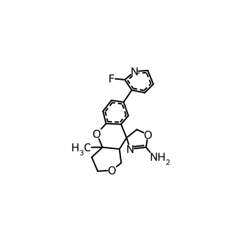 CC12CCOCC1C1(COC(N)=N1)c1cc(-c3cccnc3F)ccc1O2